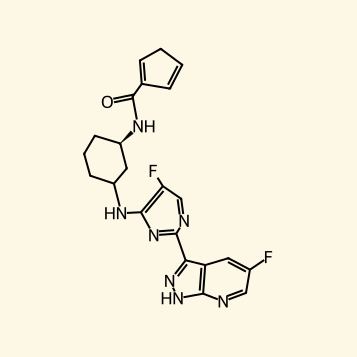 O=C(N[C@@H]1CCCC(Nc2nc(-c3n[nH]c4ncc(F)cc34)ncc2F)C1)C1=CCC=C1